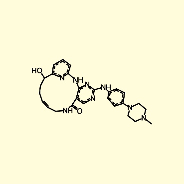 CN1CCN(c2ccc(Nc3ncc4c(n3)Nc3cccc(n3)C(O)CC/C=C\CNC4=O)cc2)CC1